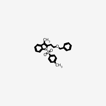 Cc1ccc(S(=O)(=O)n2c(CCOCc3ccccc3)c(C)c3ccccc32)cc1